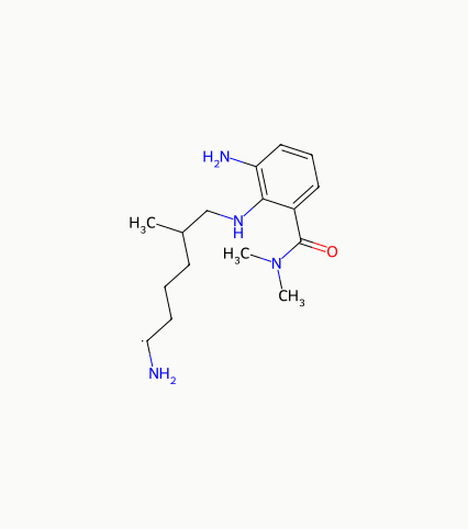 CC(CCC[CH]N)CNc1c(N)cccc1C(=O)N(C)C